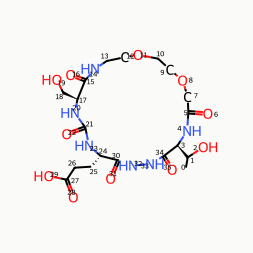 CC(O)[C@@H]1NC(=O)COCCOCCNC(=O)[C@H](CO)NC(=O)N[C@@H](CCC(=O)O)C(=O)NNC1=O